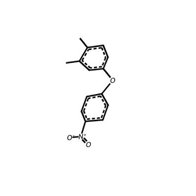 Cc1ccc(Oc2ccc([N+](=O)[O-])cc2)cc1C